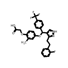 Cc1cc(SC(c2ccc(C(F)(F)F)cc2)c2c[nH]nc2CCc2ccccc2F)ccc1OCC(=O)O